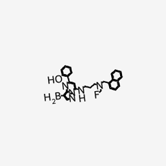 Bc1cnn2c(NCCCN(CF)Cc3cccc4ccccc34)cc(-c3ccccc3O)nc12